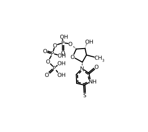 CC1[C@@H](O)[C@@H](OP(=O)(O)OP(=O)(O)OP(=O)(O)O)O[C@H]1n1ccc(=S)[nH]c1=O